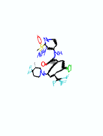 C[C@@H]1CN(c2cc(C(F)(F)F)c(Cl)cc2C(=O)Nc2ccnc([S@](C)(=N)=O)c2)CCC1(F)F